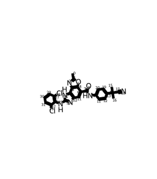 Cc1nc2c(o1)c(C(=O)Nc1ccc(C(C)(C)C#N)cc1)cc1nc(Nc3c(Cl)cccc3Cl)[nH]c12